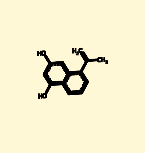 C=C(C)c1cccc2c(O)cc(O)cc12